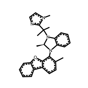 Cc1ccc2c(oc3ccccc32)c1N1c2ccccc2N(C(C)(C)c2nccn2C)[C@@H]1C